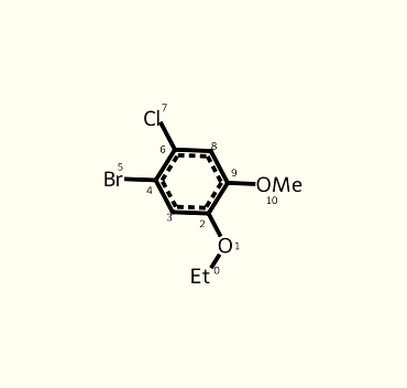 CCOc1cc(Br)c(Cl)cc1OC